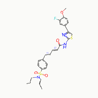 CCCN(CCC)S(=O)(=O)c1ccc(/C=C/C=C/C(=O)Nc2nc(-c3ccc(OC)c(F)c3)cs2)cc1